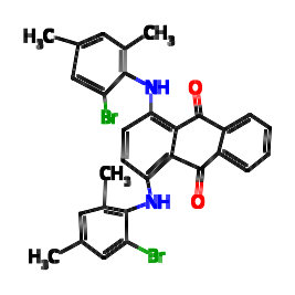 Cc1cc(C)c(Nc2ccc(Nc3c(C)cc(C)cc3Br)c3c2C(=O)c2ccccc2C3=O)c(Br)c1